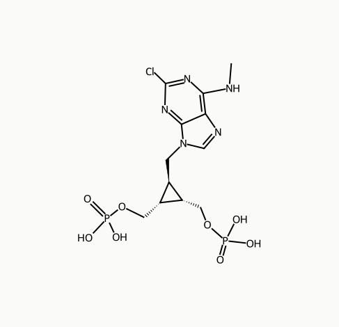 CNc1nc(Cl)nc2c1ncn2C[C@H]1[C@H](COP(=O)(O)O)[C@@H]1COP(=O)(O)O